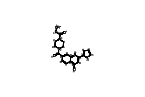 CCCOC(=O)N1CCN(C(=O)c2ccc3c(Cl)cc(-c4cccs4)nc3c2)CC1